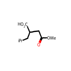 COC(=O)CC(CC(C)C)C(=O)O